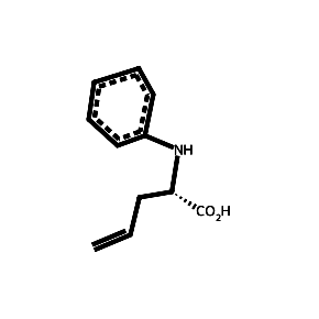 C=CC[C@H](Nc1ccccc1)C(=O)O